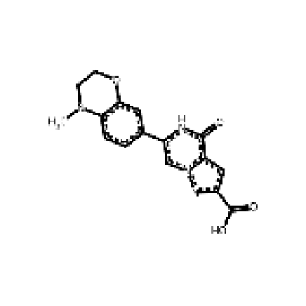 CN1CCOc2cc(-c3cn4nc(C(=O)O)cc4c(=O)[nH]3)ccc21